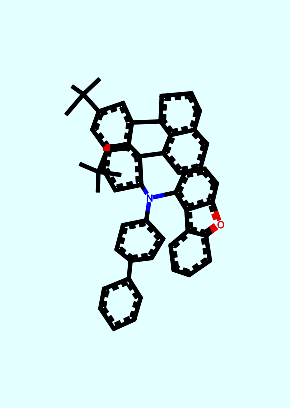 CC(C)(C)c1cc(-c2cccc3cccc(-c4ccccc4N(c4ccc(-c5ccccc5)cc4)c4cccc5oc6ccccc6c45)c23)cc(C(C)(C)C)c1